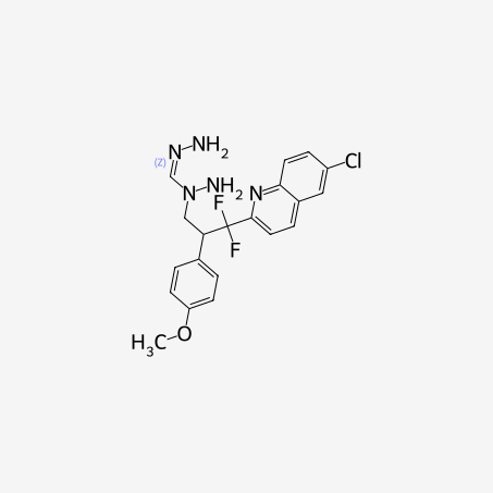 COc1ccc(C(CN(N)/C=N\N)C(F)(F)c2ccc3cc(Cl)ccc3n2)cc1